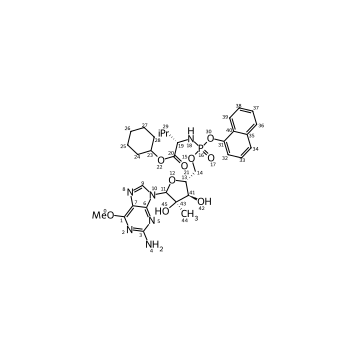 COc1nc(N)nc2c1ncn2C1O[C@H](COP(=O)(N[C@H](C(=O)OC2CCCCC2)C(C)C)Oc2cccc3ccccc23)[C@@H](O)[C@@]1(C)O